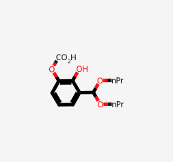 CCCOC(OCCC)c1cccc(OC(=O)O)c1O